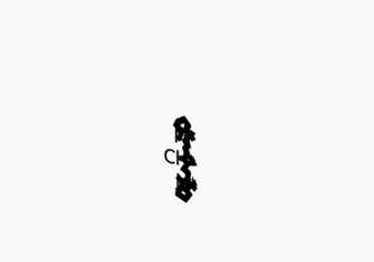 CN1/C(=C\C=C2/CCC(/C=C/C3=[N+](C)c4ccccc4C3(C)C)C2Cl)C(C)(C)c2ccccc21